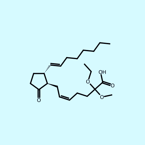 CCCCCC/C=C/[C@H]1CCC(=O)[C@@H]1C/C=C\CCC(OC)(OCC)C(=O)O